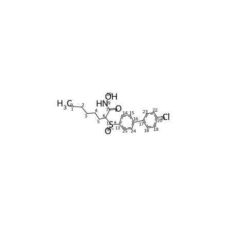 CCCCCCC(C(=O)NO)[S+]([O-])c1ccc(-c2ccc(Cl)cc2)cc1